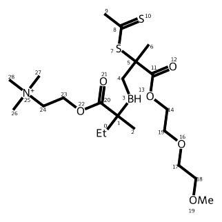 CCC(C)(BCC(C)(SC(C)=S)C(=O)OCCOCCOC)C(=O)OCC[N+](C)(C)C